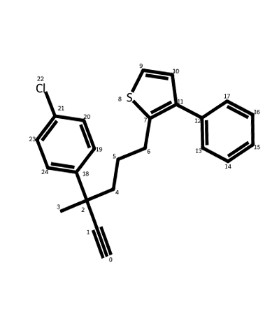 C#CC(C)(CCCc1sccc1-c1ccccc1)c1ccc(Cl)cc1